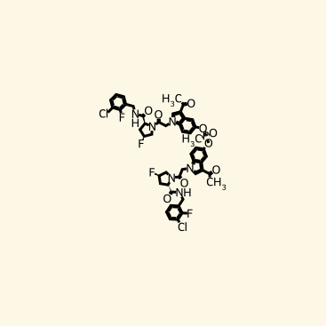 CC(=O)c1cn(CC(=O)N2C[C@H](F)C[C@H]2C(=O)NCc2cccc(Cl)c2F)c2ccc(OP(C)(=O)Oc3ccc4c(c3)c(C(C)=O)cn4CC(=O)N3C[C@H](F)C[C@H]3C(=O)NCc3cccc(Cl)c3F)cc12